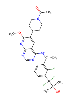 COc1nc2ncnc(N[C@H](C)c3cccc(C(F)(F)C(C)(C)O)c3F)c2cc1C1CCN(C(C)=O)CC1